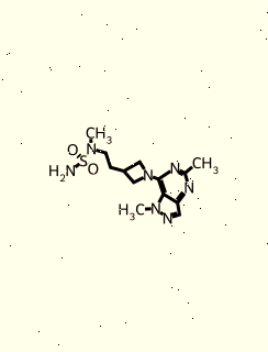 Cc1nc(N2CC(CCN(C)S(N)(=O)=O)C2)c2c(cnn2C)n1